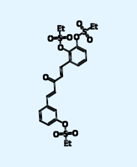 CCS(=O)(=O)Oc1cccc(/C=C/C(=O)/C=C/c2cccc(OS(=O)(=O)CC)c2OS(=O)(=O)CC)c1